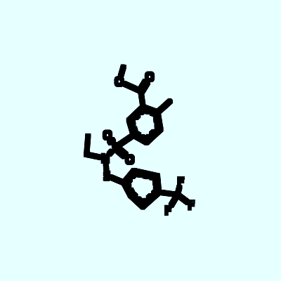 CCN(Sc1ccc(C(F)(F)F)cc1)S(=O)(=O)c1ccc(C)c(C(=O)OC)c1